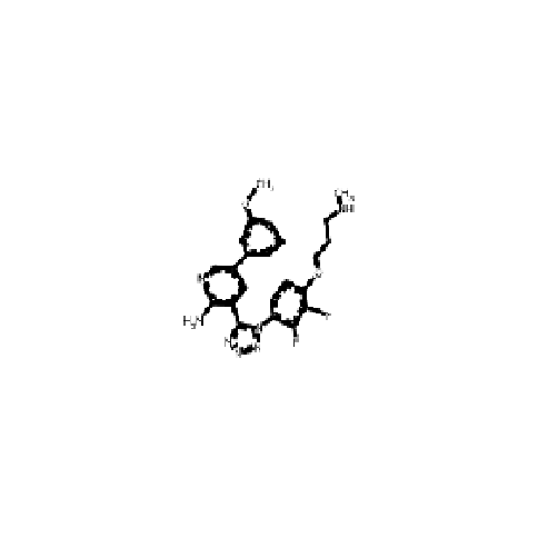 CNCCCOc1ccc(-n2nnnc2-c2cc(-c3cccc(OC)c3)cnc2N)c(F)c1F